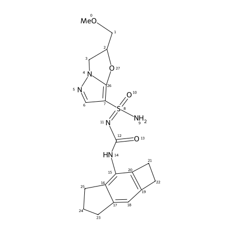 COCC1Cn2ncc(S(N)(=O)=NC(=O)Nc3c4c(cc5c3CC5)CCC4)c2O1